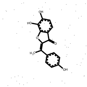 C/C(=C1\Oc2c(ccc(O)c2O)C1=O)c1ccc(O)cc1